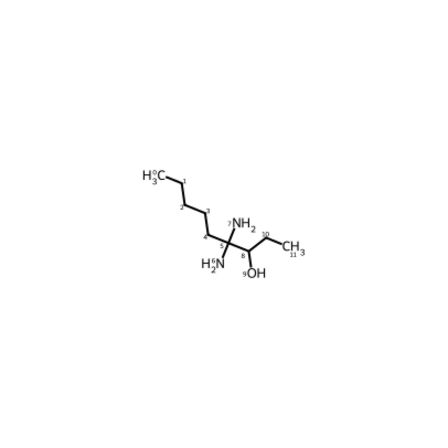 CCCCCC(N)(N)C(O)CC